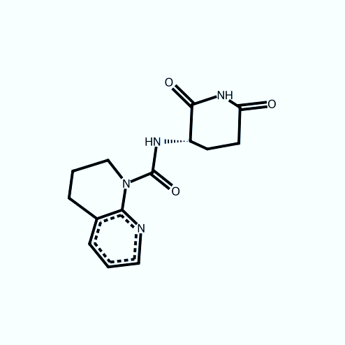 O=C1CC[C@H](NC(=O)N2CCCc3cccnc32)C(=O)N1